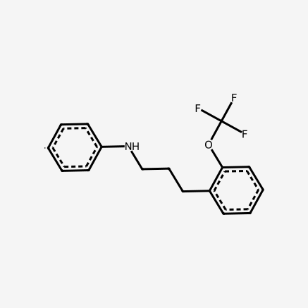 FC(F)(F)Oc1ccccc1CCCNc1cc[c]cc1